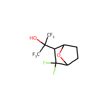 OC(C1C2CCC(O2)C1(F)F)(C(F)(F)F)C(F)(F)F